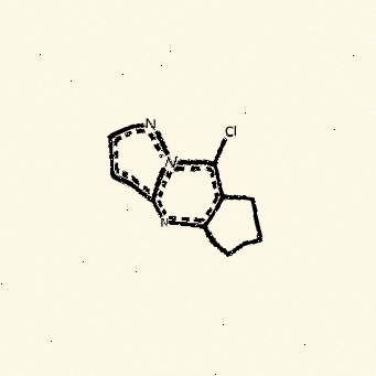 Clc1c2c(nc3ccnn13)CCC2